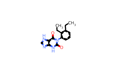 CCc1cccc(-n2c(=O)[nH]c3nc[nH]c3c2=O)c1CC